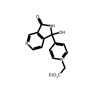 CCOC(=O)C[n+]1ccc(C2(O)NC(=O)c3cnccc32)cc1